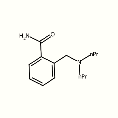 CCCN(CCC)Cc1ccccc1C(N)=O